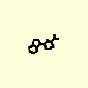 CNc1ncnc(N2CCc3ccccc32)n1